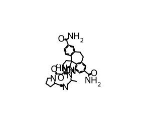 CC(C)n1nc(C2(C[C@@H](C)NCC(=O)N3CCCC3C#N)c3ccc(C(N)=O)cc3CCc3cc(C(N)=O)ccc32)[nH]c1=O